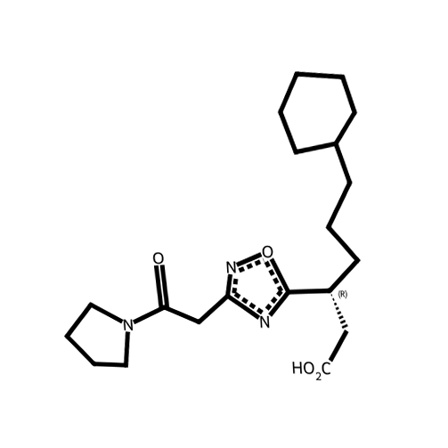 O=C(O)C[C@@H](CCCC1CCCCC1)c1nc(CC(=O)N2CCCC2)no1